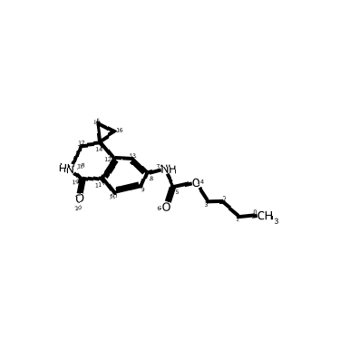 CCCCOC(=O)Nc1ccc2c(c1)C1(CC1)CNC2=O